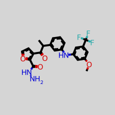 COc1cc(Nc2cccc(C(C)C(=O)c3ccoc3C(=O)NN)c2)cc(C(F)(F)F)c1